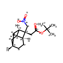 CC(C)(C)OC(=O)C[C@]1(C[N+](=O)[O-])[C@@H]2C[C@@H]3CC[C@H]1[C@H]2C3